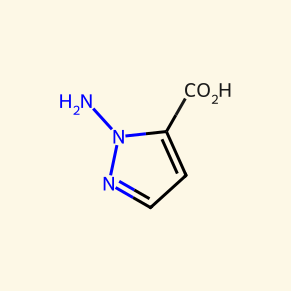 Nn1nccc1C(=O)O